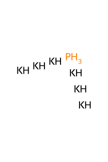 P.[KH].[KH].[KH].[KH].[KH].[KH]